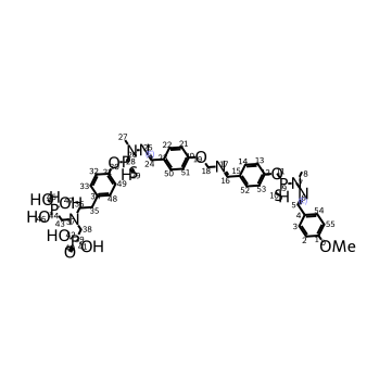 COc1ccc(/C=N/N(C)[PH](=S)Oc2ccc(C=NCOc3ccc(/C=N/N(C)[PH](=S)Oc4ccc(CCN(CP(=O)(O)O)C[PH](O)(O)O)cc4)cc3)cc2)cc1